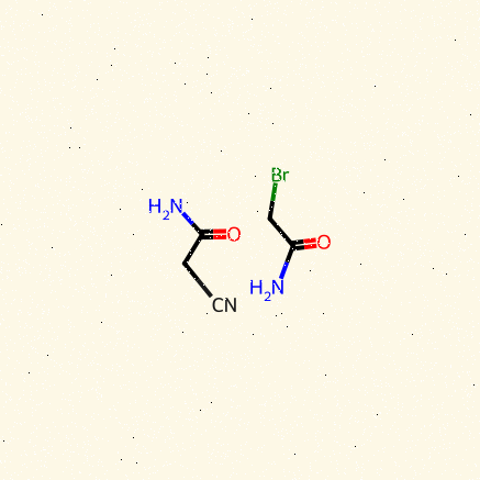 N#CCC(N)=O.NC(=O)CBr